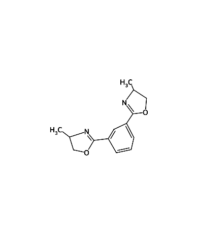 CC1COC(c2cccc(C3=NC(C)CO3)c2)=N1